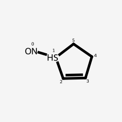 O=N[SH]1C=CCC1